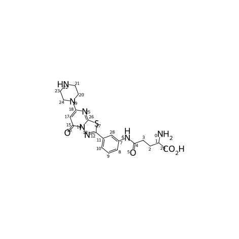 NC(CCC(=O)Nc1cccc(-c2nn3c(=O)cc(N4CCNCC4)nc3s2)c1)C(=O)O